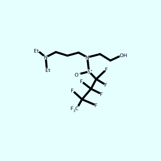 CCN(CC)CCCN(CCO)[S+]([O-])C(F)(F)C(F)(F)C(F)(F)C(F)(F)F